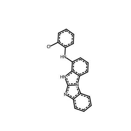 Clc1ccccc1Nc1cccc2c1[nH]c1nc3ccccc3n12